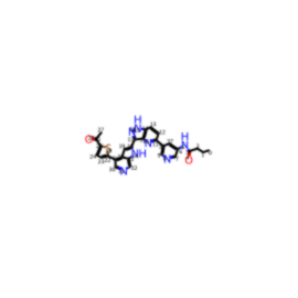 CCCC(=O)Nc1cncc(-c2ccc3[nH]nc(-c4cc5c(-c6ccc(C(C)=O)s6)cncc5[nH]4)c3n2)c1